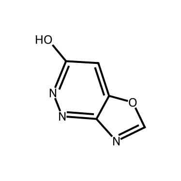 Oc1cc2ocnc2nn1